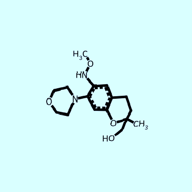 CONc1cc2c(cc1N1CCOCC1)OC(C)(CO)CC2